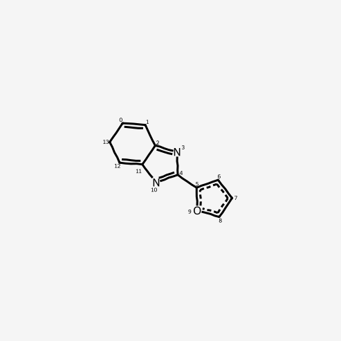 C1=CC2=NC(c3ccco3)=NC2=CC1